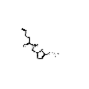 C=CCCC(=O)NCc1ccc(C(=O)O)s1